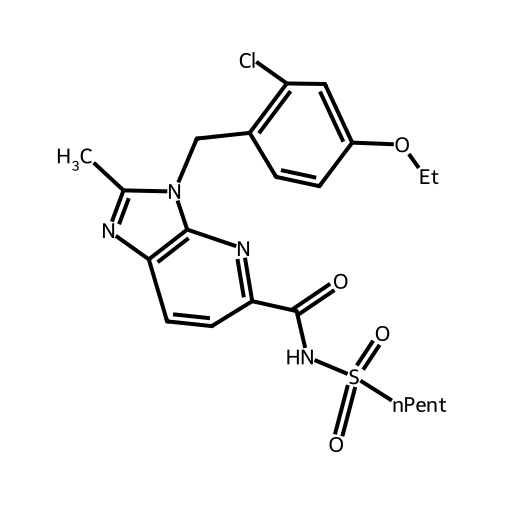 CCCCCS(=O)(=O)NC(=O)c1ccc2nc(C)n(Cc3ccc(OCC)cc3Cl)c2n1